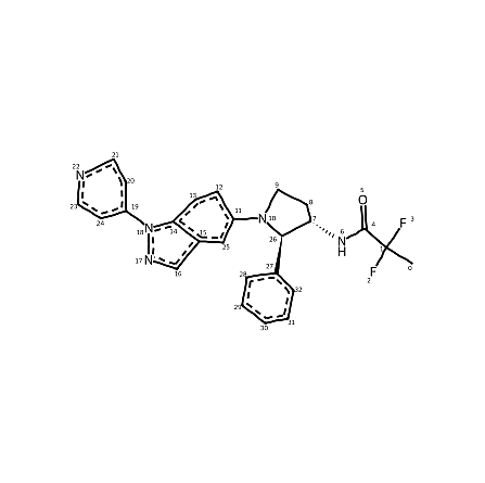 CC(F)(F)C(=O)N[C@H]1CCN(c2ccc3c(cnn3-c3ccncc3)c2)[C@@H]1c1ccccc1